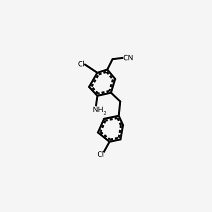 N#CCc1cc(Cc2ccc(Cl)cc2)c(N)cc1Cl